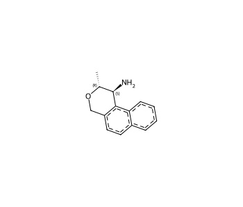 C[C@H]1OCc2ccc3ccccc3c2[C@@H]1N